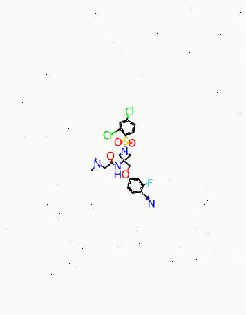 CN(C)CC(=O)NC1(COc2ccc(C#N)c(F)c2)CN(S(=O)(=O)c2ccc(Cl)cc2Cl)C1